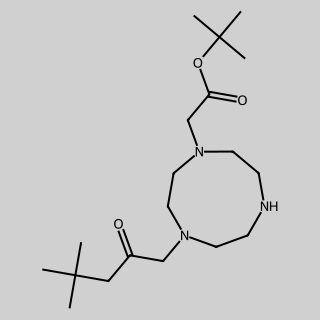 CC(C)(C)CC(=O)CN1CCNCCN(CC(=O)OC(C)(C)C)CC1